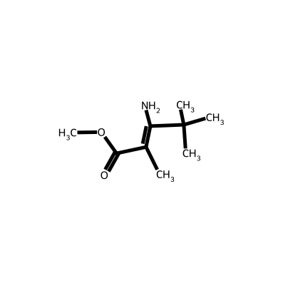 COC(=O)C(C)=C(N)C(C)(C)C